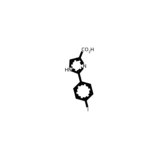 O=C(O)c1c[nH]c(-c2ccc(I)cc2)n1